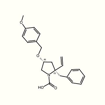 C=C[C@]1(Cc2ccccc2)C[C@@H](OCc2ccc(OC)cc2)CN1C(=O)O